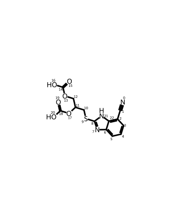 N#Cc1cccc2nc(SCC(COC(=O)O)OC(=O)O)[nH]c12